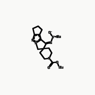 CC(C)(C)OC(=O)N1CCC2(CC1)Cn1nc3c(c1C2=N[S+]([O-])C(C)(C)C)CCC3